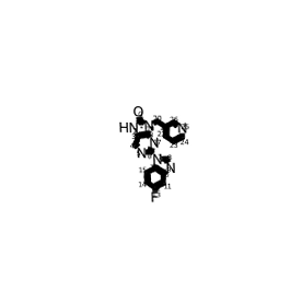 O=c1[nH]c2cnc(-n3cnc4cc(F)ccc43)nc2n1Cc1cccnc1